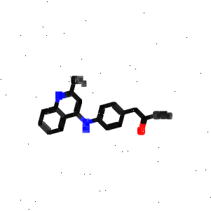 COC(=O)Cc1ccc(Nc2cc(C)nc3ccccc23)cc1